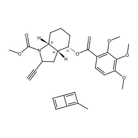 C#CC1C[C@H]2[C@@H](OC(=O)c3ccc(OC)c(OC)c3OC)CCC[C@H]2N1C(=O)OC.Cc1cc2ccc1-2